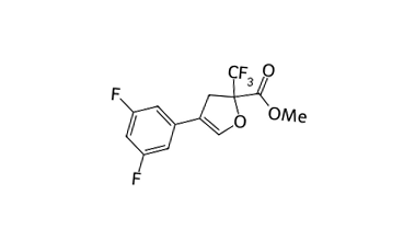 COC(=O)C1(C(F)(F)F)CC(c2cc(F)cc(F)c2)=CO1